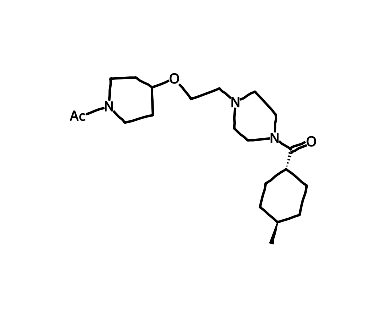 CC(=O)N1CCC(OCCN2CCN(C(=O)[C@H]3CC[C@H](C)CC3)CC2)CC1